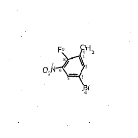 Cc1cc(Br)cc([N+](=O)[O-])c1F